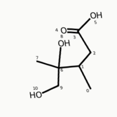 CC(CC(=O)O)C(C)(O)CO